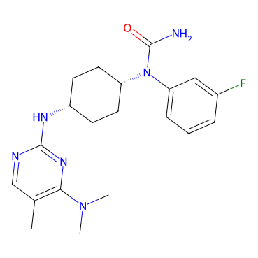 Cc1cnc(N[C@H]2CC[C@@H](N(C(N)=O)c3cccc(F)c3)CC2)nc1N(C)C